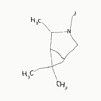 CC1C2C(CN1I)C2(C)C